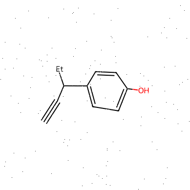 C#CC(CC)c1ccc(O)cc1